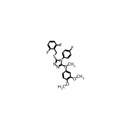 COc1ccc(N(C)c2nnc(SCc3c(F)cccc3F)n2-c2ccc(F)cc2)cc1OC